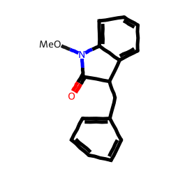 CON1C(=O)C(Cc2ccccc2)c2ccccc21